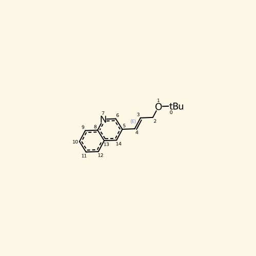 CC(C)(C)OC/C=C/c1cnc2ccccc2c1